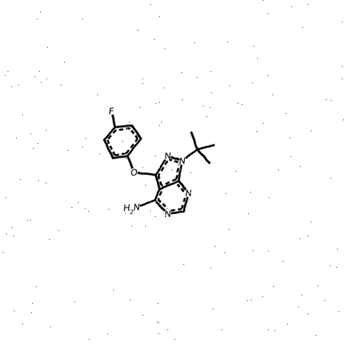 CC(C)(C)n1nc(Oc2ccc(F)cc2)c2c(N)ncnc21